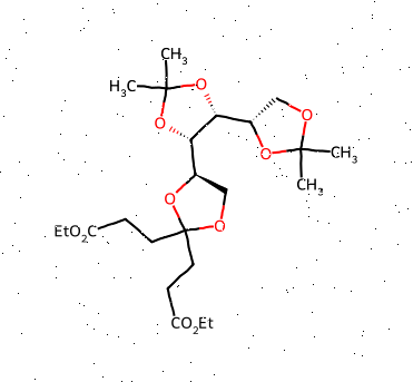 CCOC(=O)CCC1(CCC(=O)OCC)OC[C@H]([C@@H]2OC(C)(C)O[C@@H]2[C@@H]2COC(C)(C)O2)O1